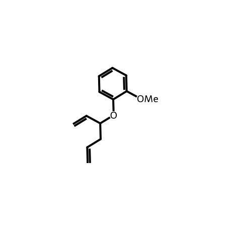 C=CCC(C=C)Oc1ccccc1OC